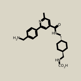 Cc1cc(C(=O)NC[C@H]2CC[C@H](CNC(=O)O)CC2)cc(-c2ccc(CN)cc2)n1